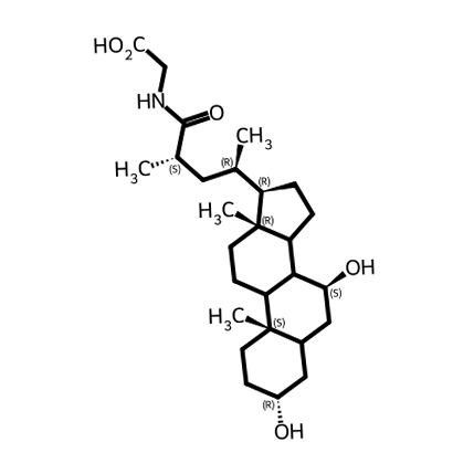 C[C@H](C[C@H](C)C(=O)NCC(=O)O)[C@H]1CCC2C3C(CC[C@@]21C)[C@@]1(C)CC[C@@H](O)CC1C[C@@H]3O